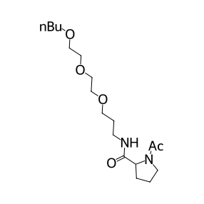 CCCCOCCOCCOCCCNC(=O)C1CCCN1C(C)=O